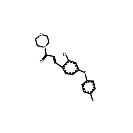 O=C(C=Cc1ccc(Sc2ccc(F)cc2)cc1Cl)N1CCOCC1